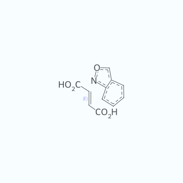 O=C(O)/C=C/C(=O)O.c1ccc2nocc2c1